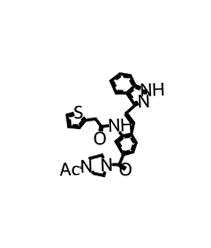 CC(=O)N1CCN(C(=O)c2ccc(C=Cc3n[nH]c4ccccc34)c(NC(=O)Cc3cccs3)c2)CC1